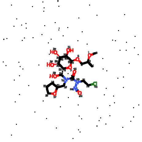 COC(C)CO[C@H]1O[C@H](C(O)N(CC2CCCO2)C(=O)N(CCCl)N=O)[C@H](O)[C@H](O)[C@H]1O